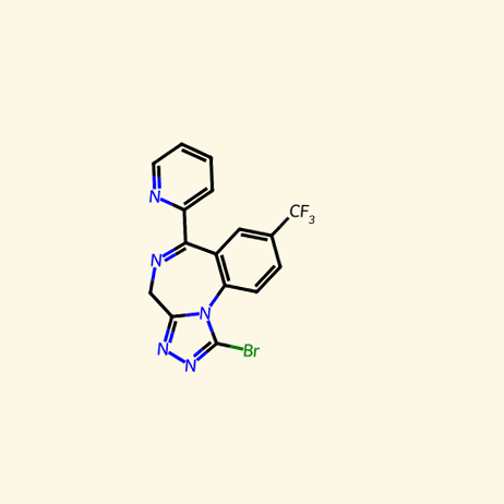 FC(F)(F)c1ccc2c(c1)C(c1ccccn1)=NCc1nnc(Br)n1-2